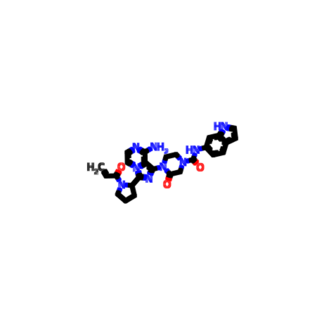 C=CC(=O)N1CCCC1c1nc(N2CCN(C(=O)Nc3ccc4cc[nH]c4c3)CC2=O)c2c(N)nccn12